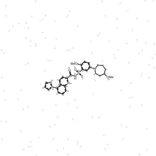 COc1ccc(N2CCCC(OC)CC2)cc1S(=O)(=O)NC(=O)c1ccc2c(-n3cccn3)cccc2n1